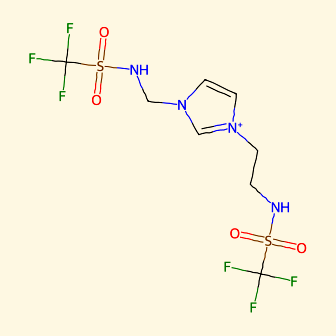 O=S(=O)(NCC[n+]1ccn(CNS(=O)(=O)C(F)(F)F)c1)C(F)(F)F